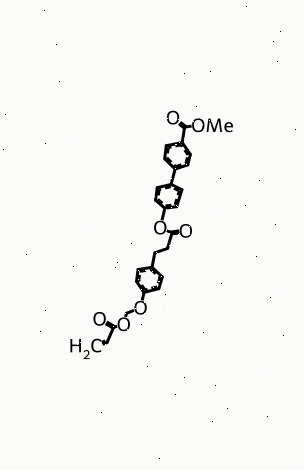 C=CC(=O)OCOc1ccc(CCC(=O)Oc2ccc(-c3ccc(C(=O)OC)cc3)cc2)cc1